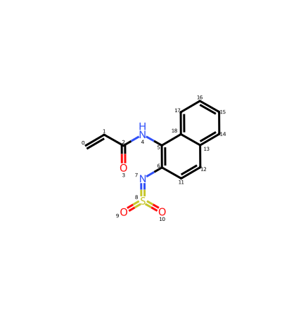 C=CC(=O)Nc1c(N=S(=O)=O)ccc2ccccc12